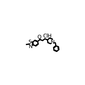 Cc1nc2ccc(C(=O)CCC3CCN(Cc4ccccc4)CC3)cc2s1.Cl